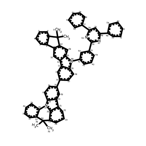 CC1(C)c2ccccc2-c2cc3c4cc(-c5ccc6c(c5)c5cccc7c5n6-c5ccccc5C7(C)C)ccc4n(-c4cccc(-c5nc(-c6ccccc6)cc(-c6ccccc6)n5)c4)c3cc21